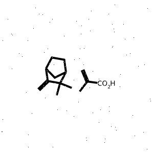 C=C(C)C(=O)O.C=C1C2CCC(C2)C1(C)C